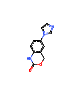 O=C1Nc2ccc(-n3ccnc3)cc2CO1